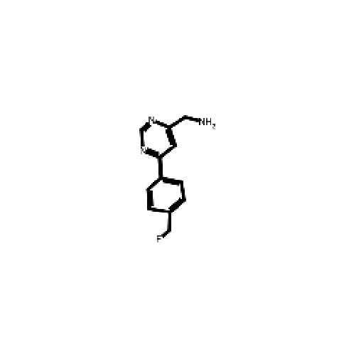 NCc1cc(-c2ccc(CF)cc2)ncn1